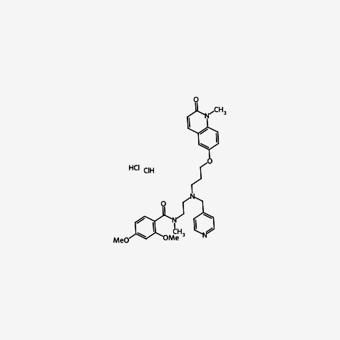 COc1ccc(C(=O)N(C)CCN(CCCOc2ccc3c(ccc(=O)n3C)c2)Cc2ccncc2)c(OC)c1.Cl.Cl